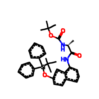 C[C@@H](NC(=O)OC(C)(C)C)C(=O)Nc1cccc2ccc(O[Si](c3ccccc3)(c3ccccc3)C(C)(C)C)cc12